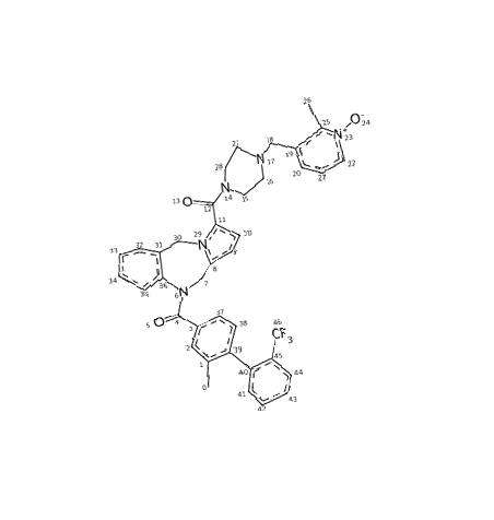 Cc1cc(C(=O)N2Cc3ccc(C(=O)N4CCN(Cc5ccc[n+]([O-])c5C)CC4)n3Cc3ccccc32)ccc1-c1ccccc1C(F)(F)F